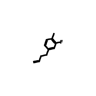 C=CCCc1ccc(C)c(F)c1